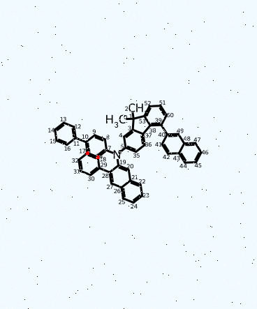 CC1(C)c2cc(N(c3ccc(-c4ccccc4)cc3)c3cc4ccccc4cc3-c3ccccc3)ccc2-c2c(-c3ccc4ccccc4c3)cccc21